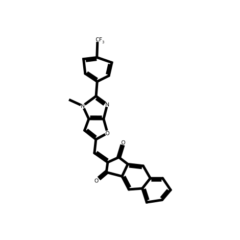 Cn1c(-c2ccc(C(F)(F)F)cc2)nc2oc(C=C3C(=O)c4cc5ccccc5cc4C3=O)cc21